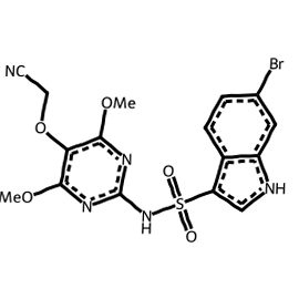 COc1nc(NS(=O)(=O)c2c[nH]c3cc(Br)ccc23)nc(OC)c1OCC#N